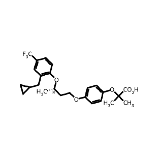 C[C@@H](CCOc1ccc(OC(C)(C)C(=O)O)cc1)Oc1ccc(C(F)(F)F)cc1CC1CC1